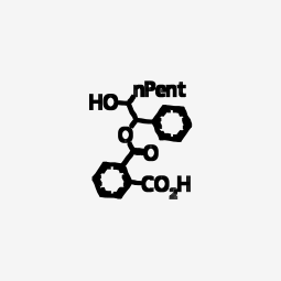 CCCCCC(O)C(OC(=O)c1ccccc1C(=O)O)c1ccccc1